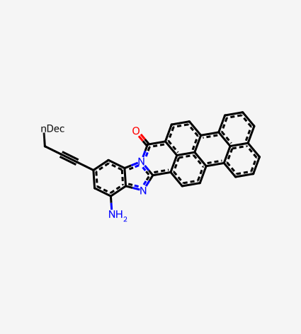 CCCCCCCCCCCC#Cc1cc(N)c2nc3c4ccc5c6cccc7cccc(c8ccc(c(=O)n3c2c1)c4c85)c76